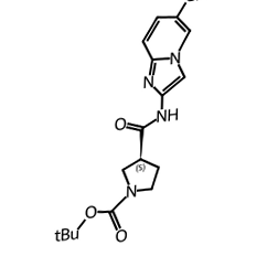 CC(C)(C)OC(=O)N1CC[C@H](C(=O)Nc2cn3cc(C#N)ccc3n2)C1